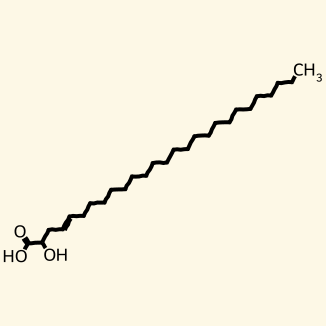 CCCCCCCCCCCCCCCCCCCCCCC=CCC(O)C(=O)O